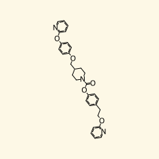 O=C(Oc1ccc(CCOc2ccccn2)cc1)N1CCC(COc2ccc(Oc3ccccn3)cc2)CC1